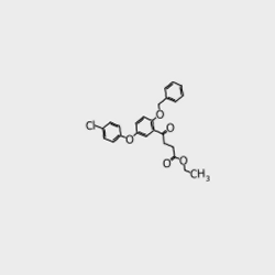 CCOC(=O)CCC(=O)c1cc(Oc2ccc(Cl)cc2)ccc1OCc1ccccc1